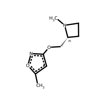 Cc1cc(OC[C@H]2CCN2C)no1